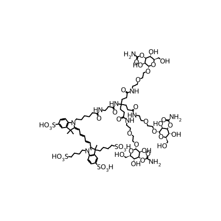 CC1(CCCCS(=O)(=O)O)C(/C=C/C=C/C=C2/N(CCCCCC(=O)NCCC(=O)NC(CCC(=O)NCCOCCO[C@H]3O[C@H](CO)[C@@H](O)[C@H](OC(N)=O)[C@@H]3O)(CCC(=O)NCCOCCO[C@H]3O[C@H](CO)[C@@H](O)[C@H](OC(N)=O)[C@@H]3O)CCC(=O)NCCOCCO[C@H]3O[C@H](CO)[C@@H](O)[C@H](OC(N)=O)[C@@H]3O)c3ccc(S(=O)(=O)O)cc3C2(C)C)=[N+](CCCCS(=O)(=O)O)c2ccc(S(=O)(=O)O)cc21